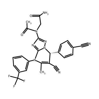 CC(=O)N(CC(N)=O)c1nc2n(n1)[C@H](c1ccc(C#N)cc1)C(C#N)=C(C)N2c1cccc(C(F)(F)F)c1